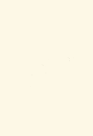 CC(=O)NCCC(=O)N1CCC(C(=O)O)(C(=O)O)CC1